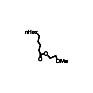 CCCCCCCCCCC(=O)OCCOC